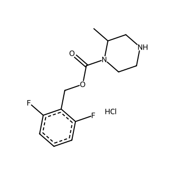 CC1CNCCN1C(=O)OCc1c(F)cccc1F.Cl